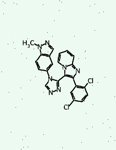 Cn1ncc2cc(-n3cnnc3-c3c(-c4cc(Cl)ccc4Cl)nc4ccccn34)ccc21